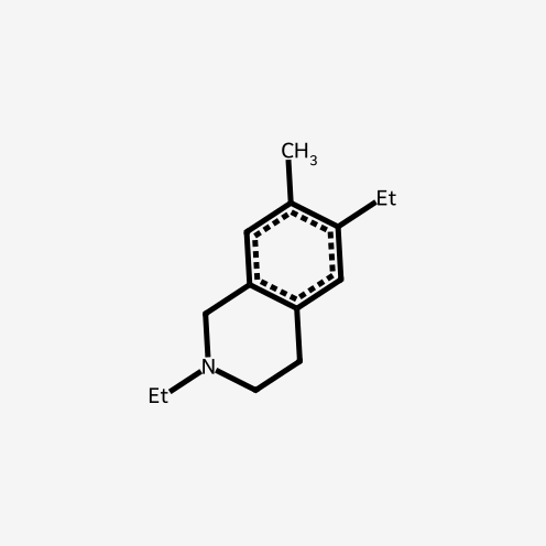 CCc1cc2c(cc1C)CN(CC)CC2